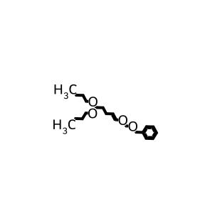 CCCCOC(CCC=COCOCc1ccccc1)OCCCC